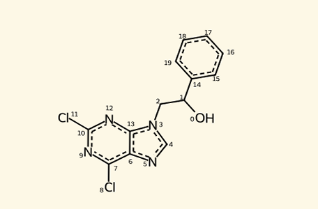 OC(Cn1cnc2c(Cl)nc(Cl)nc21)c1ccccc1